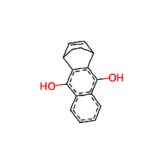 Oc1c2c(c(O)c3ccccc13)C1C=CC2CC1